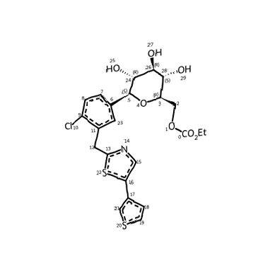 CCOC(=O)OC[C@H]1O[C@@H](c2ccc(Cl)c(Cc3ncc(-c4ccsc4)s3)c2)[C@H](O)[C@@H](O)[C@@H]1O